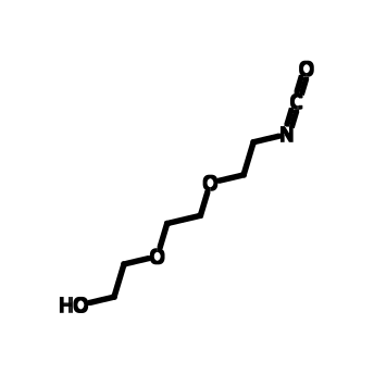 O=C=NCCOCCOCCO